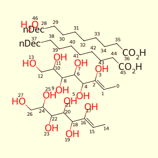 CC=C(O)C(O)C(O)C(O)C(O)CO.CC=C(O)C(O)C(O)C(O)C(O)CO.CCCCCCCCCCCCCCCCCC(=O)O.CCCCCCCCCCCCCCCCCC(=O)O.O